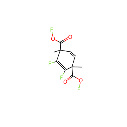 CC1(C(=O)OF)C=CC(C)(C(=O)OF)C(F)=C1F